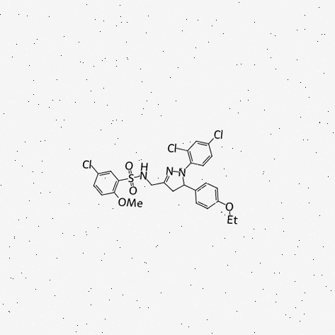 CCOc1ccc(C2CC(CNS(=O)(=O)c3cc(Cl)ccc3OC)=NN2c2ccc(Cl)cc2Cl)cc1